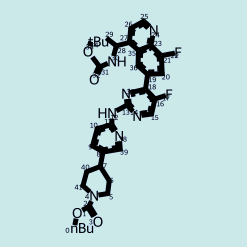 CCCCOC(=O)N1CCC(c2ccc(Nc3ncc(F)c(-c4cc(F)c5nccc(C(C)NC(=O)OC(C)(C)C)c5c4)n3)nc2)CC1